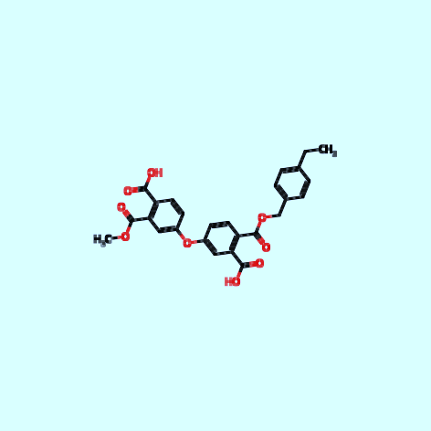 CCc1ccc(COC(=O)c2ccc(Oc3ccc(C(=O)O)c(C(=O)OC)c3)cc2C(=O)O)cc1